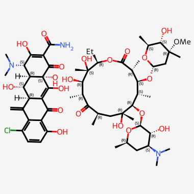 C=C1c2c(Cl)ccc(O)c2C(=O)C2=C(O)[C@]3(O)C(=O)C(C(N)=O)=C(O)[C@@H](N(C)C)[C@@H]3[C@@H](O)[C@H]12.CC[C@H]1OC(=O)[C@H](C)[C@@H](O[C@H]2C[C@@](C)(OC)[C@@H](O)[C@H](C)O2)[C@H](C)[C@@H](O[C@@H]2O[C@H](C)C[C@H](N(C)C)[C@H]2O)[C@](C)(O)C[C@@H](C)C(=O)[C@H](C)[C@@H](O)[C@]1(C)O